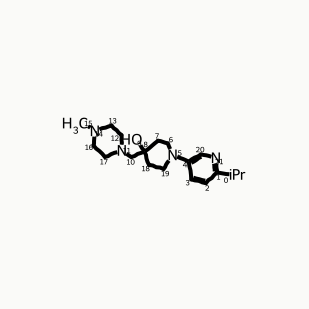 CC(C)c1ccc(N2CCC(O)(CN3CCN(C)CC3)CC2)cn1